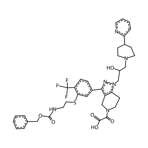 O=C(NCCSc1cc(-c2nn(CC(O)CN3CCC(c4ccccn4)CC3)c3c2CN(C(=O)C(=O)O)CC3)ccc1C(F)(F)F)OCc1ccccc1